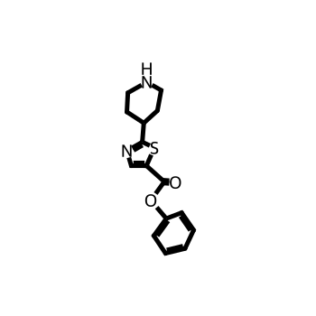 O=C(Oc1ccccc1)c1cnc(C2CCNCC2)s1